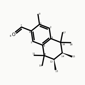 Cc1cc2c(cc1C=O)C(C)(C)[C@H](C)[C@H](C)C2(C)C